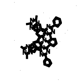 Cc1nc(C)nc(-c2ccc3c(c2)c2cc(-c4nc(C)nc(C)n4)ccc2n3-c2c(-c3nc(-c4ccccc4)nc(-c4ccccc4)n3)cccc2-c2nc(-c3ccccc3)nc(-c3ccccc3)n2)n1